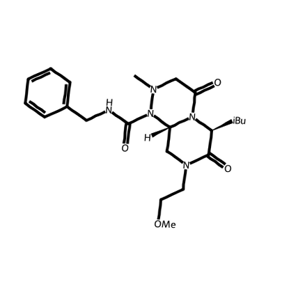 CCC(C)[C@H]1C(=O)N(CCOC)C[C@H]2N1C(=O)CN(C)N2C(=O)NCc1ccccc1